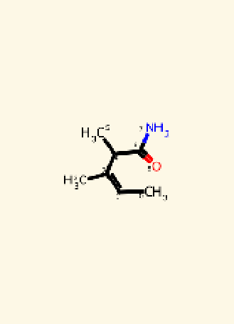 CC=C(C)C(C)C(N)=O